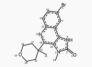 Cn1c(=O)[nH]c2c3cc(Br)ccc3nc(C3(C)CCOCC3)c21